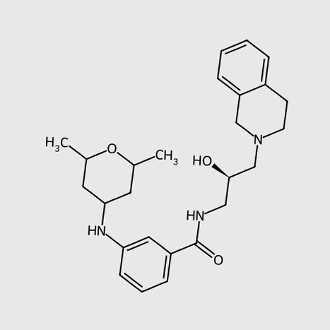 CC1CC(Nc2cccc(C(=O)NC[C@@H](O)CN3CCc4ccccc4C3)c2)CC(C)O1